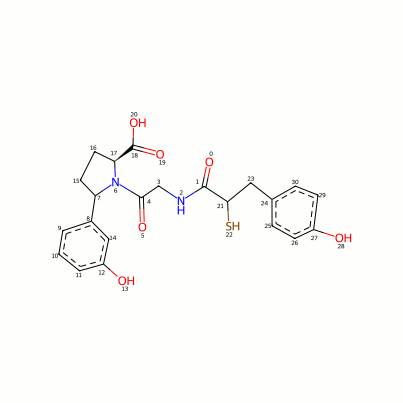 O=C(NCC(=O)N1C(c2cccc(O)c2)CC[C@H]1C(=O)O)C(S)Cc1ccc(O)cc1